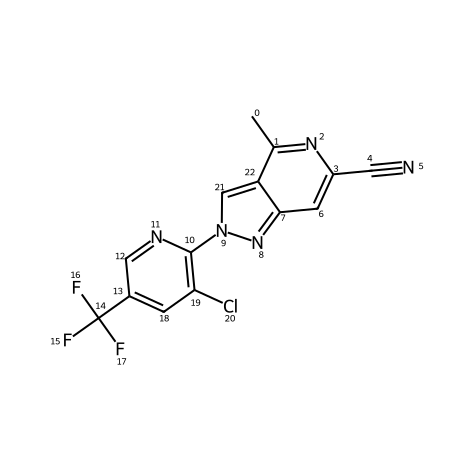 Cc1nc(C#N)cc2nn(-c3ncc(C(F)(F)F)cc3Cl)cc12